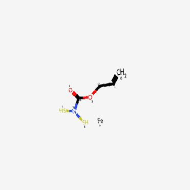 C=CCOC(=O)N(S)S.[Fe]